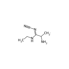 [CH2]C(N)C(=NC#N)NCC